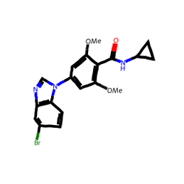 COc1cc(-n2cnc3cc(Br)ccc32)cc(OC)c1C(=O)NC1CC1